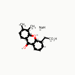 Cc1ccc2c(=O)c3cccc(CC(=O)O)c3oc2c1C.[NaH]